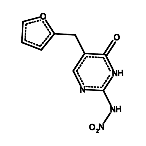 O=c1[nH]c(N[N+](=O)[O-])ncc1Cc1ccco1